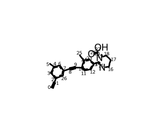 C#Cc1cc(C)cc(C#Cc2ccc(C3=NCCCN3C(=O)O)cc2C)c1